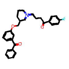 O=C(CCCN1CCCC(COc2cccc(C(=O)c3ccccc3)c2)C1)c1ccc(F)cc1